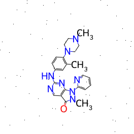 Cc1cc(Nc2ncc3c(=O)n(C)n(-c4ccccn4)c3n2)ccc1N1CCN(C)CC1